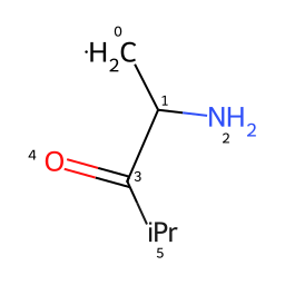 [CH2]C(N)C(=O)C(C)C